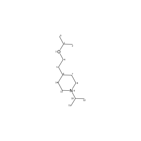 CC(C)OCCC1CCN(C(C)C)CC1